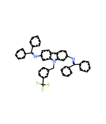 FC(F)(F)c1cccc(Cn2c3cc(N=C(c4ccccc4)c4ccccc4)ccc3c3ccc(N=C(c4ccccc4)c4ccccc4)cc32)c1